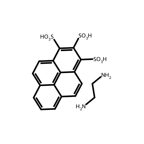 NCCN.O=S(=O)(O)c1c(S(=O)(=O)O)c2ccc3cccc4ccc(c1S(=O)(=O)O)c2c34